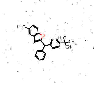 Cc1ccc2oc(C(c3ccccc3)c3ccc(C(C)(C)C)cc3)cc2c1